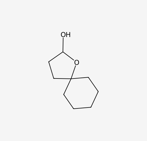 OC1CCC2(CCCCC2)O1